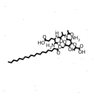 CCCCCCCCCCCCCCCCCC(=O)OC[C@H]1OC(N(C(C)=O)C(C)C(=O)NC(CCC(=O)O)C(N)=O)[C@H](N)[C@@H](OC(C)C(=O)O)[C@@H]1O